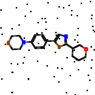 c1cc(N2CCSCC2)ccc1-c1cnc(C2CCCOC2)s1